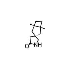 C[C@@]12CC[C@]1(C)C[C@@]1(CNC(=O)C1)C2